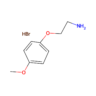 Br.COc1ccc(OCCN)cc1